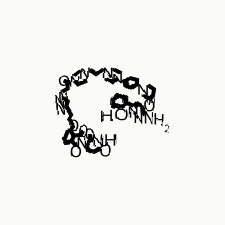 Nc1nnc(-c2ccccc2O)cc1O[C@H]1CCCN(c2ccc(N3CCN(CCCN4CCN(C(=O)CCn5cc(CCOc6cccc7c6C(=O)N(C6CCC(=O)NC6=O)C7=O)nn5)CC4)CC3)cc2)C1